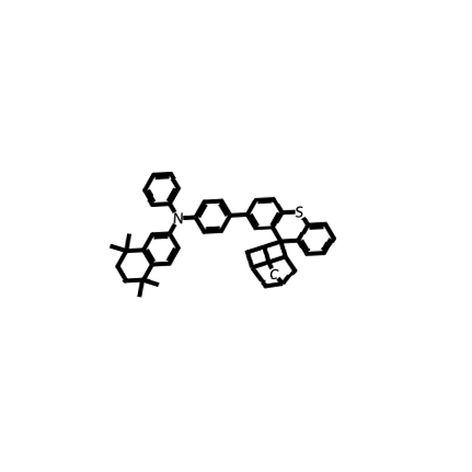 CC1(C)CCC(C)(C)c2cc(N(c3ccccc3)c3ccc(-c4ccc5c(c4)C4(c6ccccc6S5)C5CC6CC7CC4C75C6)cc3)ccc21